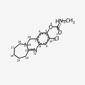 CNC(=O)Oc1cc2c(cc1Cl)N=C1CCCCCN1C2